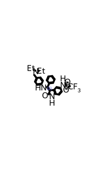 CCN(CC)Cc1ccc(N/C(=C2\C(=O)Nc3ccc(NS(=O)(=O)C(F)(F)F)cc32)c2ccccc2)cc1